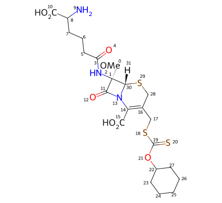 CO[C@@]1(NC(=O)CCCC(N)C(=O)O)C(=O)N2C(C(=O)O)=C(CSC(=S)OC3CCCCC3)CS[C@H]21